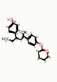 CCC(CC(C)c1ccc(OC2CCCCO2)cc1)c1ccc(O)cc1